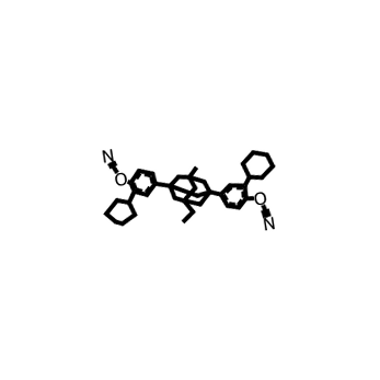 CCC12CC3(C)CC(c4ccc(OC#N)c(C5CCCCC5)c4)(C1)CC(c1ccc(OC#N)c(C4CCCCC4)c1)(C3)C2